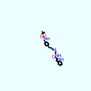 CN(CCCc1ccc(CNC(=O)OC(C)(C)C)cc1)CCNC(=O)c1cc2ccccc2[nH]1